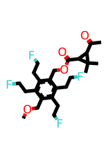 COCc1c(CCF)c(CCF)c(COC(=O)C2C(C(C)=O)C2(C)C)c(CCF)c1CCF